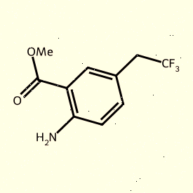 COC(=O)c1cc(CC(F)(F)F)ccc1N